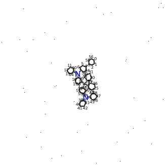 c1ccc(-c2ccc(N(c3ccccc3)c3ccc4c(c3)C(c3ccccc3)(c3ccccc3)c3cc(N(c5ccccc5)c5ccccc5)ccc3-4)cc2)cc1